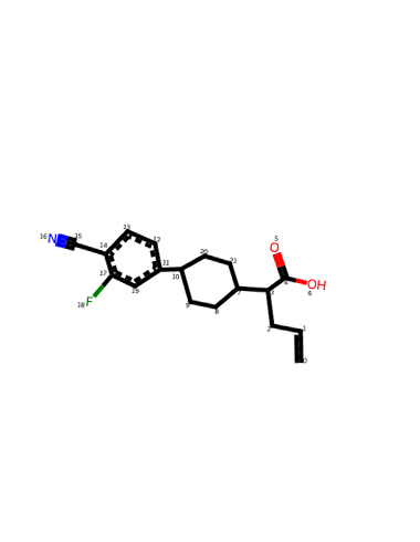 C=CCC(C(=O)O)C1CCC(c2ccc(C#N)c(F)c2)CC1